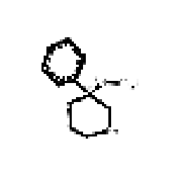 O=C(O)N[C@]1(c2ccccc2)CCCNC1